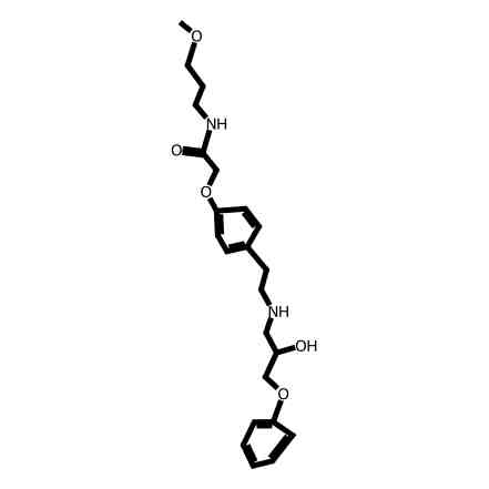 COCCCNC(=O)COc1ccc(CCNCC(O)COc2ccccc2)cc1